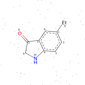 CCc1ccc2c(c1)C(=O)CN2